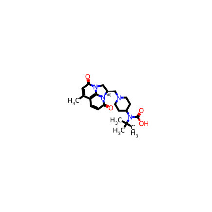 Cc1cc(=O)n2c3c1ccc(=O)n3[C@H](CN1CCC(N(C(=O)O)C(C)(C)C)CC1)C2